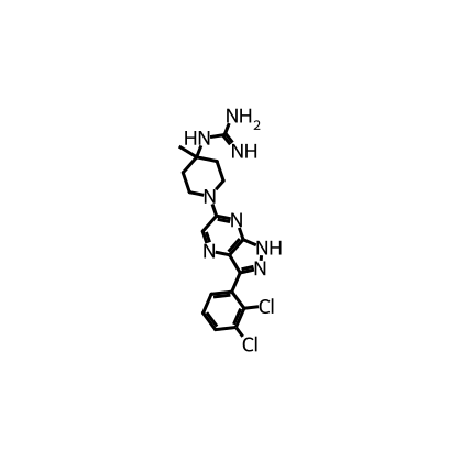 CC1(NC(=N)N)CCN(c2cnc3c(-c4cccc(Cl)c4Cl)n[nH]c3n2)CC1